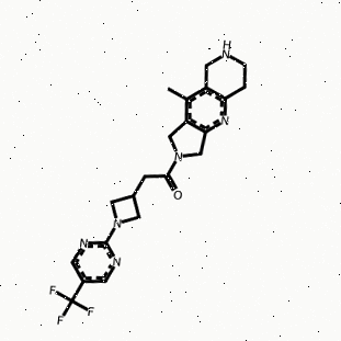 Cc1c2c(nc3c1CN(C(=O)CC1CN(c4ncc(C(F)(F)F)cn4)C1)C3)CCNC2